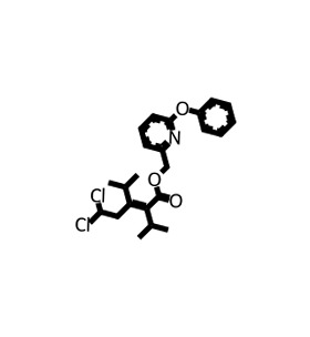 CC(C)C(CC(Cl)Cl)=C(C(=O)OCc1cccc(Oc2ccccc2)n1)C(C)C